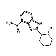 NC(=O)c1cccc2[nH]c(C3CCCCC3O)nc12